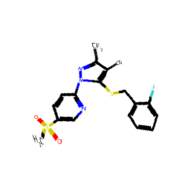 CS(=O)(=O)c1ccc(-n2nc(C(F)(F)F)c(C#N)c2SCc2ccccc2F)nc1